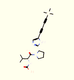 CC(C)[C@H](NC(=O)O)C(=O)N1CCC[C@H]1c1ncc(C#CC#C[Si](C)(C)C)[nH]1